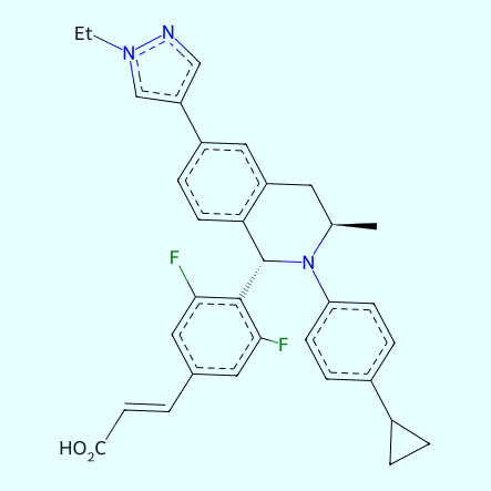 CCn1cc(-c2ccc3c(c2)C[C@@H](C)N(c2ccc(C4CC4)cc2)[C@@H]3c2c(F)cc(/C=C/C(=O)O)cc2F)cn1